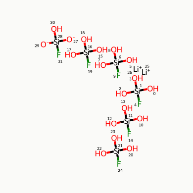 O[Si](O)(O)F.O[Si](O)(O)F.O[Si](O)(O)F.O[Si](O)(O)F.O[Si](O)(O)F.[Li+].[Li+].[O-][Si]([O-])(O)F